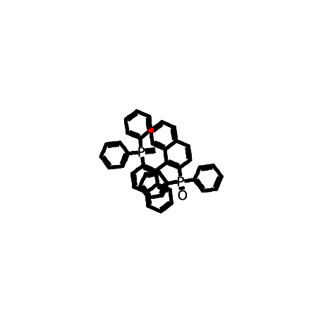 C=P(c1ccccc1)(c1ccccc1)c1ccc2ccccc2c1-c1c(P(=O)(c2ccccc2)c2ccccc2)ccc2ccccc12